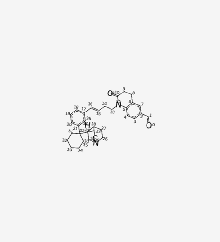 O=Cc1ccc2c(c1)CCC(=O)N2CCC=Cc1cccc(C2([C@@H]3CN4CCC3CC4)CCCCC2)c1